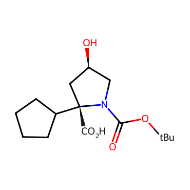 CC(C)(C)OC(=O)N1C[C@H](O)C[C@@]1(C(=O)O)C1CCCC1